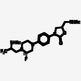 CC(=O)NCC1CN(c2ccc(N3CCN(CC(NC(C)=O)C(F)(F)F)[C@@H](F)C3)cc2)C(=O)O1